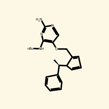 CCCCNc1nc(N)ncc1OCC1=CC=CC1[C@H](C)c1ccccc1